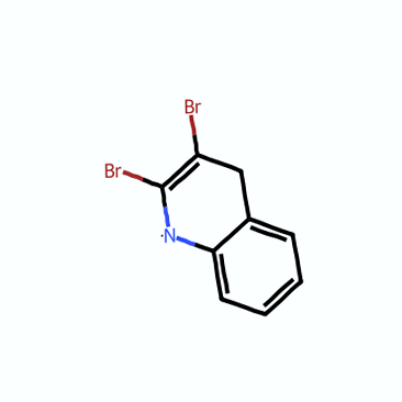 BrC1=C(Br)[N]c2ccccc2C1